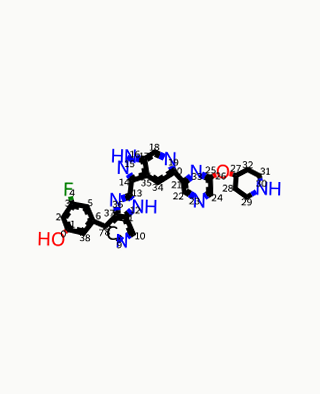 Oc1cc(F)cc(-c2cncc3[nH]c(-c4n[nH]c5cnc(-c6cncc(OC7CCNCC7)n6)cc45)nc23)c1